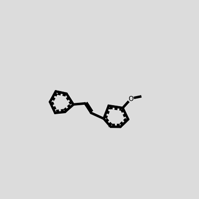 COc1cc[c]c(C=Cc2ccccc2)c1